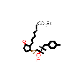 CCOC(=O)CCCCCCC1C(=O)CCC1SCC(C)(O)C(C)(C)Cc1ccc(C)cc1